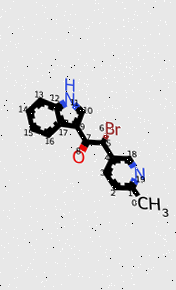 Cc1ccc(C(Br)C(=O)c2c[nH]c3ccccc23)cn1